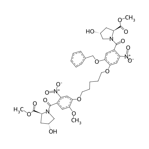 COC(=O)[C@@H]1C[C@@H](O)CN1C(=O)c1cc(OC)c(OCCCCCOc2cc([N+](=O)[O-])c(C(=O)N3C[C@H](O)C[C@H]3C(=O)OC)cc2OCc2ccccc2)cc1[N+](=O)[O-]